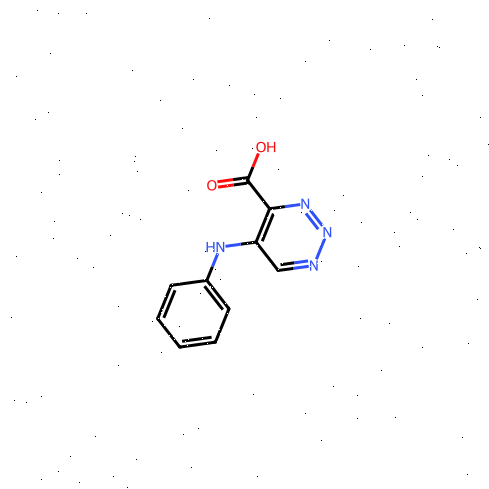 O=C(O)c1nnncc1Nc1ccccc1